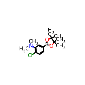 CN(C)c1cc(B2OC(C)(C)C(C)(C)O2)ccc1Cl